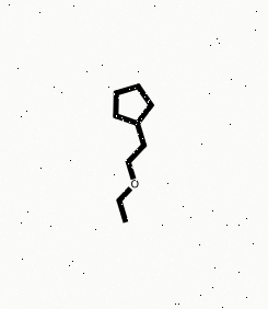 CCOCCC1CCCC1